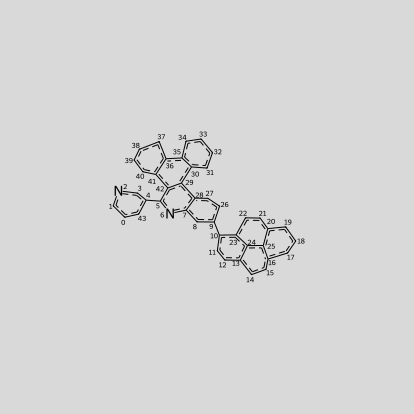 c1cncc(-c2nc3cc(-c4ccc5ccc6cccc7ccc4c5c67)ccc3c3c4ccccc4c4ccccc4c23)c1